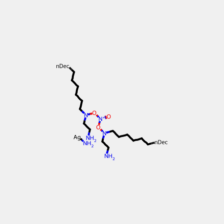 CCCCCCCCCCCCCCCCN(CCN)O[N+](=O)ON(CCN)CCCCCCCCCCCCCCCC.[NH2][Ag]